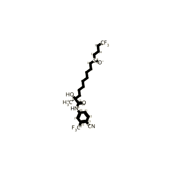 C[C@](O)(CCCCCCCC[S+]([O-])CCCC(F)(F)F)C(=O)Nc1ccc(C#N)c(C(F)(F)F)c1